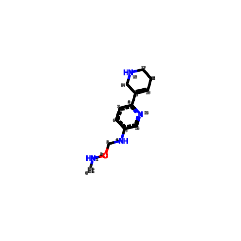 CCNOCNc1ccc(C2=CCCNC2)nc1